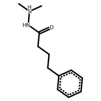 C[SiH](C)NC(=O)CCCc1ccccc1